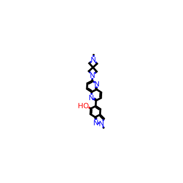 CN1CC2(C1)CN(c1ccc3nc(-c4cc5cn(C)nc5cc4O)ccc3n1)C2